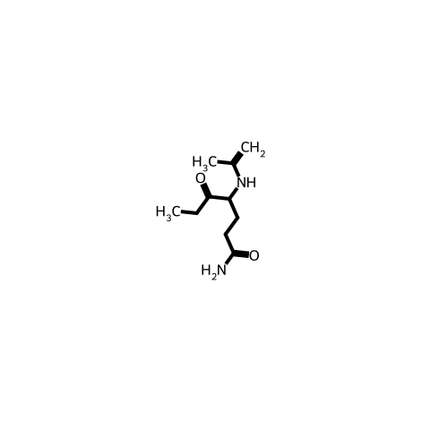 C=C(C)NC(CCC(N)=O)C(=O)CC